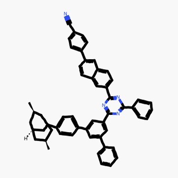 C[C@@H]1C[C@@H]2C[C@H](C)CC(c3ccc(-c4cc(-c5ccccc5)cc(-c5nc(-c6ccccc6)nc(-c6ccc7cc(-c8ccc(C#N)cc8)ccc7c6)n5)c4)cc3)(C1)C2